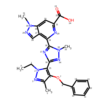 CCn1nc(C)c(OCc2ccccc2)c1-c1nc(-c2nc(C(=O)O)cc3c2cnn3C)n(C)n1